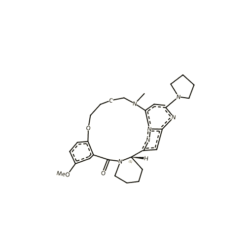 COc1ccc2c(c1)C(=O)N1CCCC[C@H]1c1cc3nc(N4CCCC4)cc(n3n1)N(C)CCCCO2